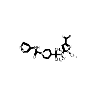 Cn1nc(C(F)F)cc1[S+]([O-])C(C)(C)C1CCN(C(=O)Nc2ccnnc2)CC1